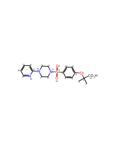 CC(C)(Oc1ccc(S(=O)(=O)N2CCN(c3ccccn3)CC2)cc1)C(=O)O